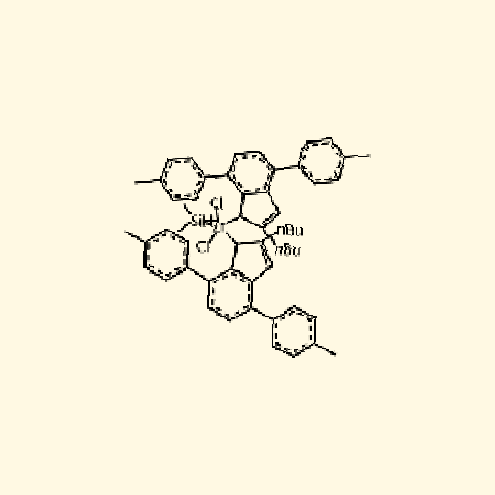 CCCCC1=Cc2c(-c3ccc(C)cc3)ccc(-c3ccc(C)cc3)c2[CH]1[Zr]([Cl])([Cl])([CH]1C(CCCC)=Cc2c(-c3ccc(C)cc3)ccc(-c3ccc(C)cc3)c21)[SiH](C)C